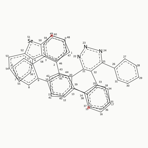 c1ccc(-c2ccccc2-c2ccc(-c3ccccc3)c(-c3nnnc(-c4ccccc4)c3-c3ccccc3-c3ccccc3)c2-c2cccc3[se]c4ccccc4c23)cc1